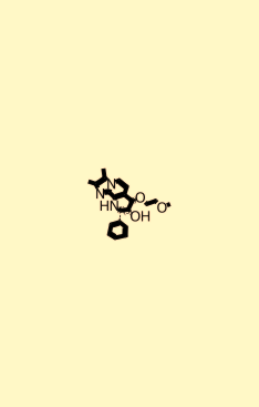 COCCO[C@@H]1c2ccn3c(C)c(C)nc3c2N[C@@H](c2ccccc2)[C@@H]1O